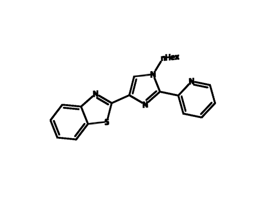 CCCCCCn1cc(-c2nc3ccccc3s2)nc1-c1ccccn1